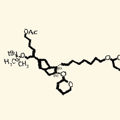 CC(=O)OCCCCC(CO[Si](C)(C)C(C)(C)C)C1=CC2C[C@H](OC3CCCCO3)[C@@H](C=CCCCCCCOC3CCCCO3)C2C1